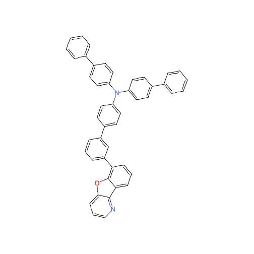 c1ccc(-c2ccc(N(c3ccc(-c4ccccc4)cc3)c3ccc(-c4cccc(-c5cccc6c5oc5cccnc56)c4)cc3)cc2)cc1